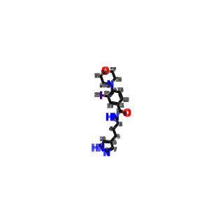 O=C(NCCCc1cn[nH]c1)c1ccc(N2CCOCC2)c(I)c1